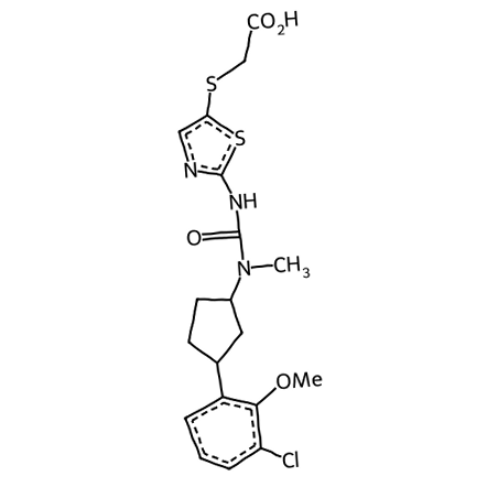 COc1c(Cl)cccc1C1CCC(N(C)C(=O)Nc2ncc(SCC(=O)O)s2)C1